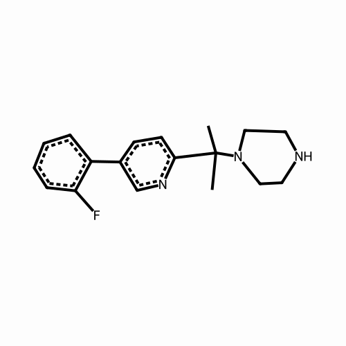 CC(C)(c1ccc(-c2ccccc2F)cn1)N1CCNCC1